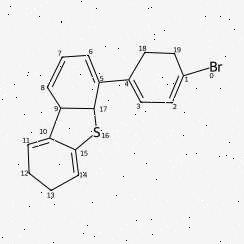 BrC1=CC=C(C2=CC=CC3C4=CCCC=C4SC23)CC1